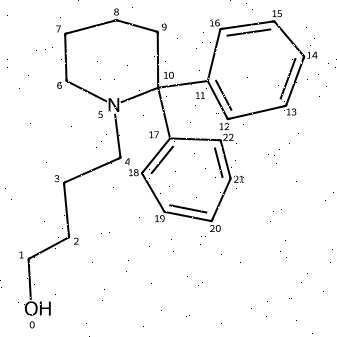 OCCCCN1CCCCC1(c1ccccc1)c1ccccc1